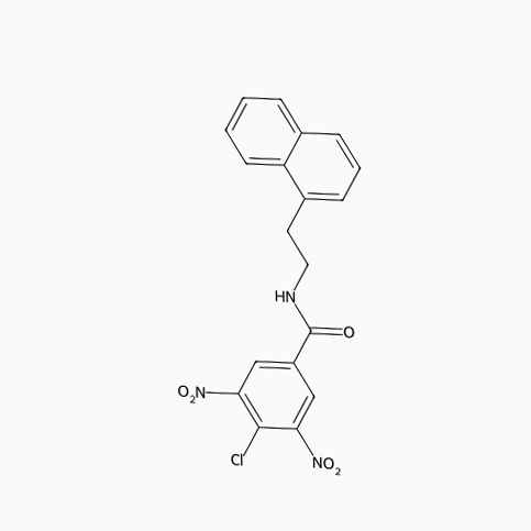 O=C(NCCc1cccc2ccccc12)c1cc([N+](=O)[O-])c(Cl)c([N+](=O)[O-])c1